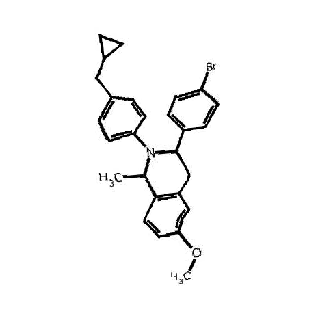 COc1ccc2c(c1)CC(c1ccc(Br)cc1)N(c1ccc(CC3CC3)cc1)C2C